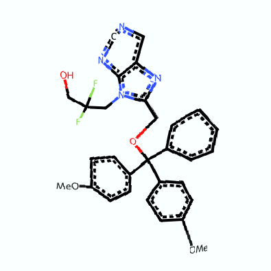 COc1ccc(C(OCc2nc3cncnc3n2CC(F)(F)CO)(c2ccccc2)c2ccc(OC)cc2)cc1